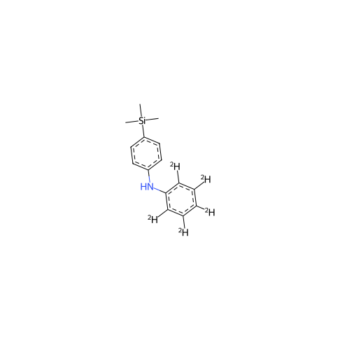 [2H]c1c([2H])c([2H])c(Nc2ccc([Si](C)(C)C)cc2)c([2H])c1[2H]